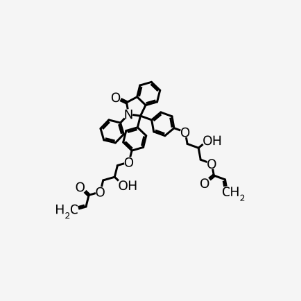 C=CC(=O)OCC(O)COc1ccc(C2(c3ccc(OCC(O)COC(=O)C=C)cc3)c3ccccc3C(=O)N2c2ccccc2)cc1